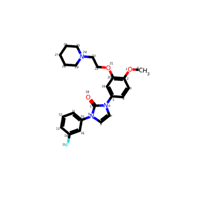 COc1ccc(-n2ccn(-c3cccc(F)c3)c2=O)cc1OCCN1CCCCC1